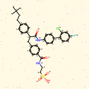 CC(C)(C)CCc1ccc(C(Cc2ccc(C(=O)NCCS(=O)(=O)O)cc2)C(=O)Nc2ccc(-c3ccc(F)cc3Cl)cc2)cc1